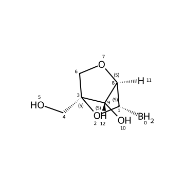 B[C@@H]1O[C@@]2(CO)CO[C@@H]1[C@@H]2O